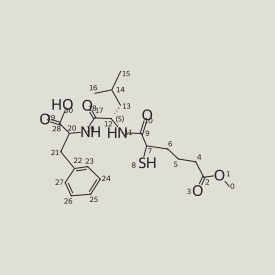 COC(=O)CCCC(S)C(=O)N[C@@H](CC(C)C)C(=O)NC(Cc1ccccc1)C(=O)O